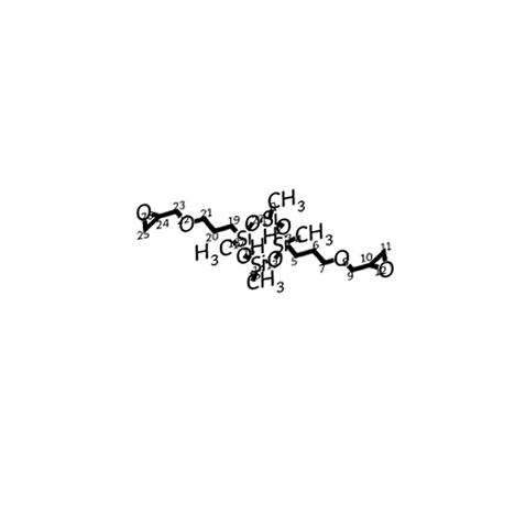 C[SiH]1O[Si](C)(CCCOCC2CO2)O[SiH](C)O[Si](C)(CCCOCC2CO2)O1